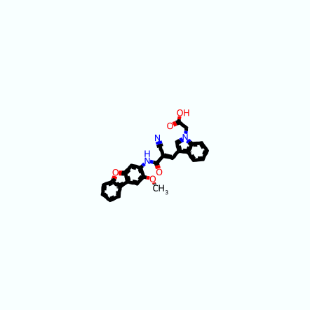 COc1cc2c(cc1NC(=O)C(C#N)=Cc1cn(CC(=O)O)c3ccccc13)oc1ccccc12